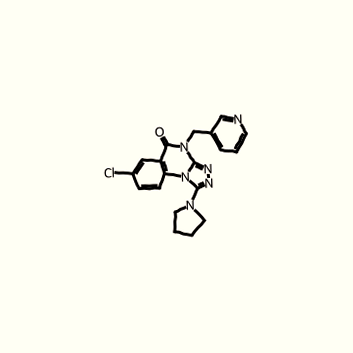 O=c1c2cc(Cl)ccc2n2c(N3CCCC3)nnc2n1Cc1cccnc1